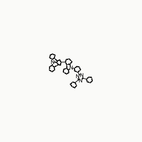 c1ccc(-c2nc(-c3ccccc3)nc(-c3cccc(-n4c5ccccc5c5c(-c6cc7c8ccccc8n8c9ccccc9c(c6)c78)cccc54)c3)n2)cc1